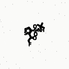 CC(C)(C)NS(=O)(=O)c1ccsc1C(=O)CF